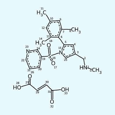 CNCc1cc(-c2c(C)cc(C)cc2C)n(S(=O)(=O)c2cccnc2)c1.O=C(O)C=CC(=O)O